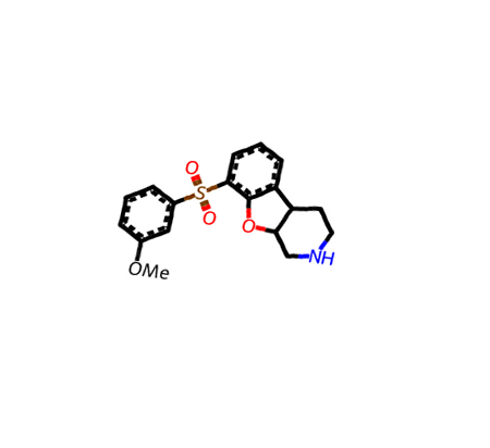 COc1cccc(S(=O)(=O)c2cccc3c2OC2CNCCC32)c1